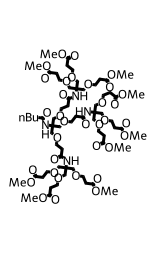 CCCCC(=O)NC(COCCC(=O)NC(COCCC(=O)OC)(COCCC(=O)OC)COCCC(=O)OC)(COCCC(=O)NC(COCCC(=O)OC)(COCCC(=O)OC)COCCC(=O)OC)COCCC(=O)NC(COCCC(=O)OC)(COCCC(=O)OC)COCCC(=O)OC